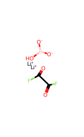 O=C(F)C(=O)F.[Li+].[Li+].[O-]B([O-])O